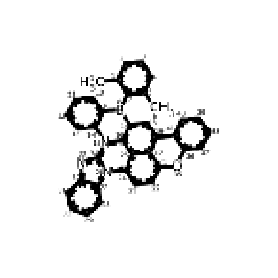 Cc1cccc(C)c1B1c2ccccc2-n2c3c1cc1c4c(ccc(c43)n3c4ccccc4nc23)Oc2ccccc2-1